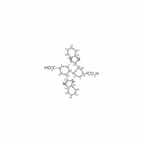 O=C(O)c1ccc(-c2ccc(C(=O)O)cc2-c2nc3ccccc3s2)c(-c2nc3ccccc3s2)c1